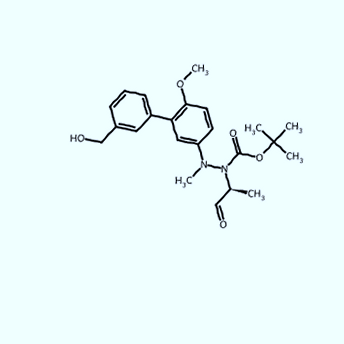 COc1ccc(N(C)N(C(=O)OC(C)(C)C)[C@@H](C)C=O)cc1-c1cccc(CO)c1